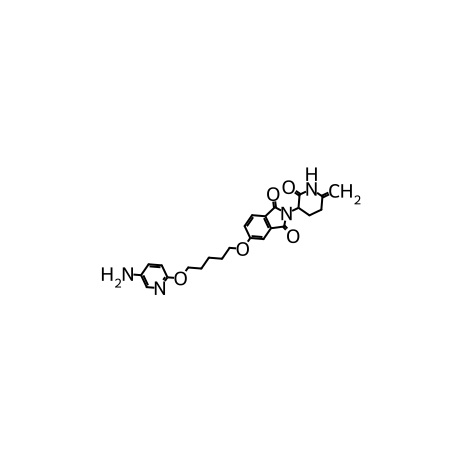 C=C1CCC(N2C(=O)c3ccc(OCCCCCOc4ccc(N)cn4)cc3C2=O)C(=O)N1